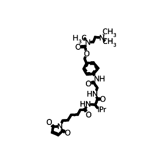 CC(C)C(NC(=O)CCCCCN1C(=O)C=CC1=O)C(=O)NCC(=O)Nc1ccc(COC(=O)N(C)CCN(C)C)cc1